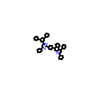 c1ccc(-c2cc(-c3ccccc3)cc(-c3cc(-c4ccccc4)nc(-c4ccc(-c5cc6nc(-c7ccccc7)cc(-c7ccccc7)c6c6ccccc56)cc4)n3)c2)cc1